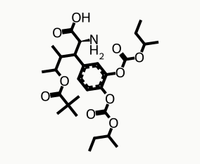 CCC(C)OC(=O)Oc1ccc(C(C(C)C(C)OC(=O)C(C)(C)C)[C@H](N)C(=O)O)cc1OC(=O)OC(C)CC